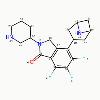 O=C1c2c(F)c(F)c(F)c(C3CC4CC(C3)N4)c2CN1C1CCCNC1